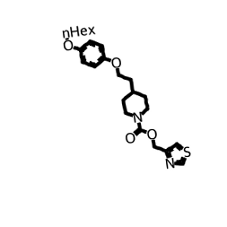 CCCCCCOc1ccc(OCCC2CCN(C(=O)OCc3cscn3)CC2)cc1